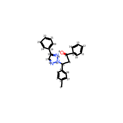 Cc1ccc(C(CC(=O)c2ccccc2)n2ncc(-c3ccccc3)n2)cc1